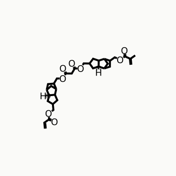 C=CC(=O)OCC1CC2C3CC(CC3COC(=O)CC(=O)OCC3CC4C5CC(CC5COC(=O)C(=C)C)[C@H]4C3)[C@H]2C1